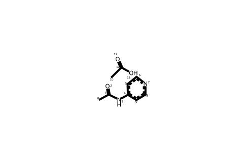 CC(=O)Nc1ccncc1.CC(=O)O